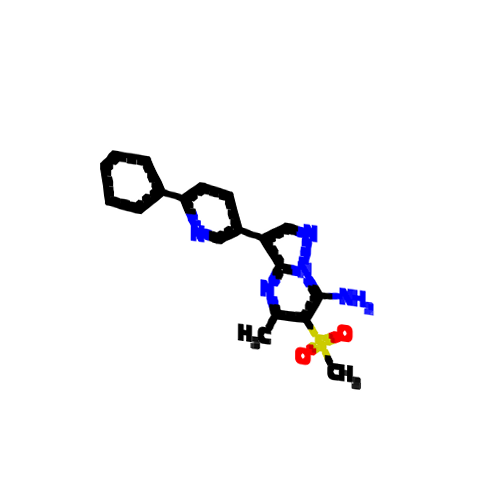 Cc1nc2c(-c3ccc(-c4ccccc4)nc3)cnn2c(N)c1S(C)(=O)=O